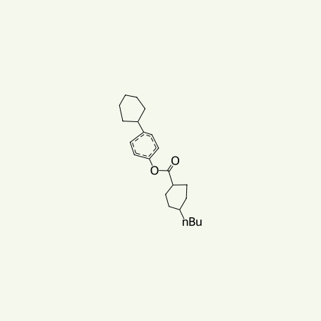 CCCCC1CCC(C(=O)Oc2ccc(C3CCCCC3)cc2)CC1